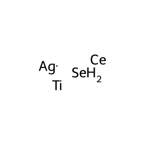 [Ag].[Ce].[SeH2].[Ti]